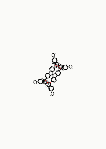 COc1ccc(N(c2ccc3c(c2)C2(c4cc(N(c5ccc(OC)cc5)c5ccc(C)s5)ccc4-3)c3cc(N(c4ccc(OC)cc4)c4ccc(C)s4)ccc3-c3ccc(N(c4ccc(OC)cc4)c4ccc(C)s4)cc32)c2ccc(C)s2)cc1